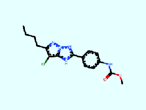 CCCCc1nn2nc(-c3ccc(NC(=O)OC)cc3)[nH]c2c1Cl